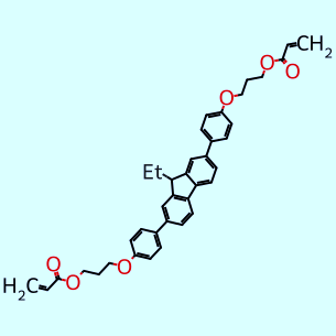 C=CC(=O)OCCCOc1ccc(-c2ccc3c(c2)C(CC)c2cc(-c4ccc(OCCCOC(=O)C=C)cc4)ccc2-3)cc1